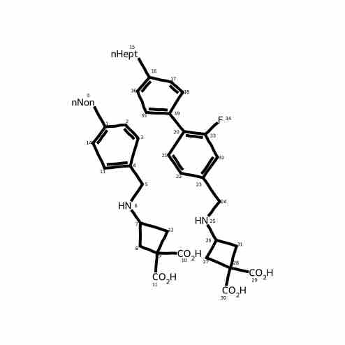 CCCCCCCCCc1ccc(CNC2CC(C(=O)O)(C(=O)O)C2)cc1.CCCCCCCc1ccc(-c2ccc(CNC3CC(C(=O)O)(C(=O)O)C3)cc2F)cc1